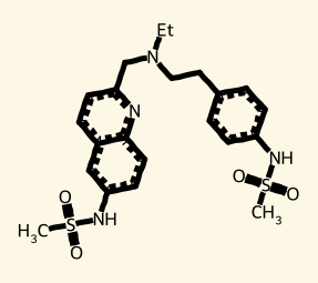 CCN(CCc1ccc(NS(C)(=O)=O)cc1)Cc1ccc2cc(NS(C)(=O)=O)ccc2n1